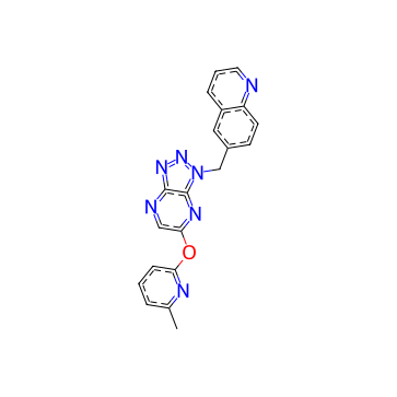 Cc1cccc(Oc2cnc3nnn(Cc4ccc5ncccc5c4)c3n2)n1